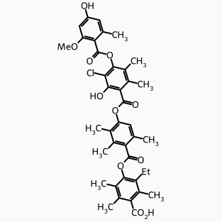 CCc1c(C)c(C(=O)O)c(C)c(C)c1OC(=O)c1c(C)cc(OC(=O)c2c(C)c(C)c(OC(=O)c3c(C)cc(O)cc3OC)c(Cl)c2O)c(C)c1C